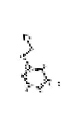 Cc1cccc(S[CH]F)c1